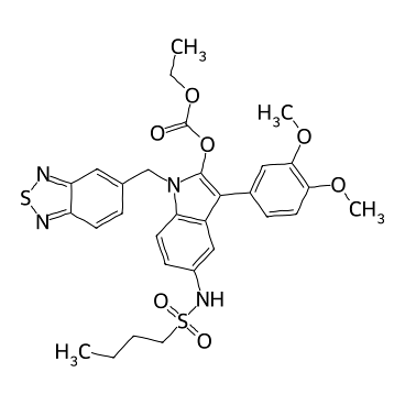 CCCCS(=O)(=O)Nc1ccc2c(c1)c(-c1ccc(OC)c(OC)c1)c(OC(=O)OCC)n2Cc1ccc2nsnc2c1